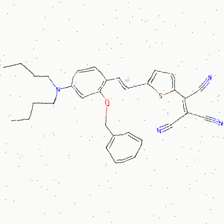 CCCCN(CCCC)c1ccc(/C=C/c2ccc(C(C#N)=C(C#N)C#N)s2)c(OCc2ccccc2)c1